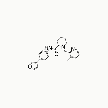 Cc1cccnc1CN1CCCC[C@@H]1C(=O)Nc1ccc(-c2ccoc2)cc1